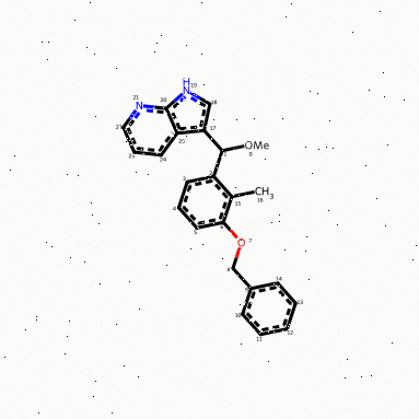 COC(c1cccc(OCc2ccccc2)c1C)c1c[nH]c2ncccc12